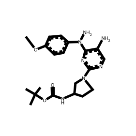 COc1ccc(N(N)c2nc(N3CCC(NC(=O)OC(C)(C)C)C3)ncc2N)cc1